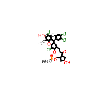 CO[PH](=O)OCC1CC(O)CC1C(=O)CCc1cc2c(-c3cc(Cl)c(Cl)cc3C=O)c3cc(Cl)c(O)c(C)c3oc-2c(Cl)c1=O